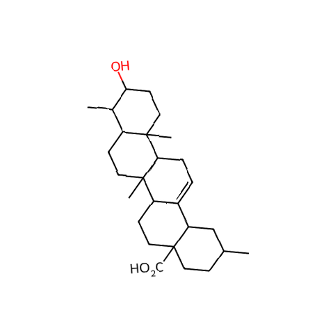 CC1CCC2(C(=O)O)CCC3C(=CCC4C3(C)CCC3C(C)C(O)CCC34C)C2C1